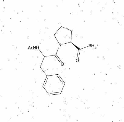 BC(=O)[C@@H]1CCCN1C(=O)C(Cc1ccccc1)NC(C)=O